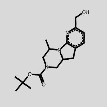 CC1CN(C(=O)OC(C)(C)C)CC2Cc3ccc(CO)nc3N12